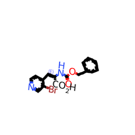 O=C(N/C(=C/c1ccncc1Br)C(=O)O)OCc1ccccc1